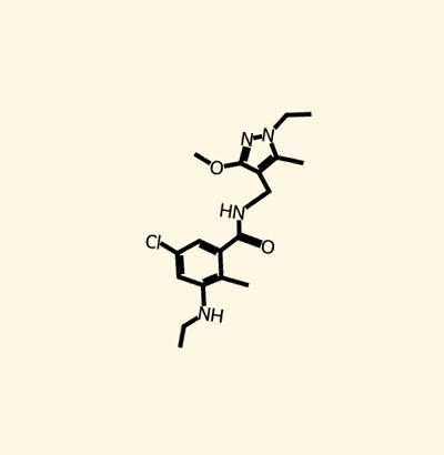 CCNc1cc(Cl)cc(C(=O)NCc2c(OC)nn(CC)c2C)c1C